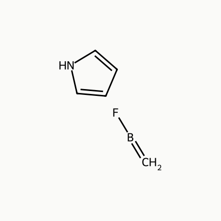 C=BF.c1cc[nH]c1